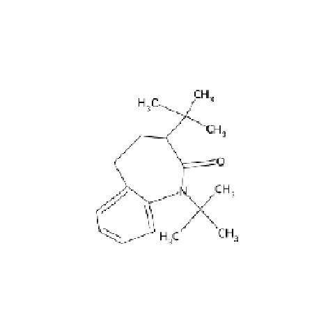 CC(C)(C)C1CCc2ccccc2N(C(C)(C)C)C1=O